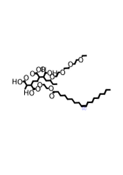 CCCCCCCC/C=C\CCCCCCCC(=O)OCCOC(CC(C(=O)O)C(C)C(=O)O)C(C(=O)O)C(CC(CC)OCCOCCOCCOCC)C(=O)O